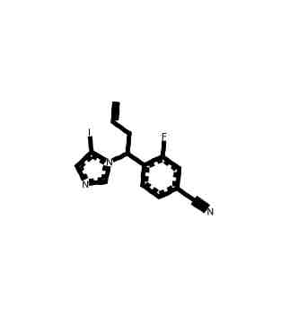 C=CCC(c1ccc(C#N)cc1F)n1cncc1I